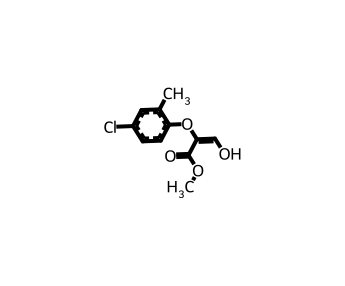 COC(=O)/C(=C\O)Oc1ccc(Cl)cc1C